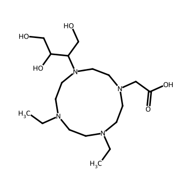 CCN1CCN(CC)CCN(C(CO)C(O)CO)CCN(CC(=O)O)CC1